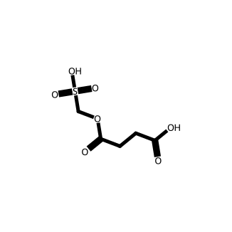 O=C(O)CCC(=O)OCS(=O)(=O)O